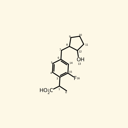 CC(C(=O)O)c1ccc(CC2CCCC2O)cc1F